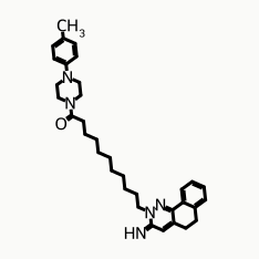 Cc1ccc(N2CCN(C(=O)CCCCCCCCCCn3nc4c(cc3=N)CCc3ccccc3-4)CC2)cc1